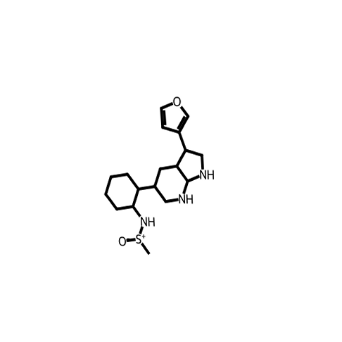 C[S+]([O-])NC1CCCCC1C1CNC2NCC(c3ccoc3)C2C1